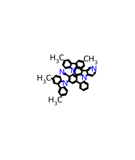 Cc1ccc2c(c1)c1cc(C)ccc1n2-c1cc(-c2ccccc2-n2c3ccccc3c3cnccc32)cc(-n2c3ccc(C)cc3c3cc(C)ccc32)c1C#N